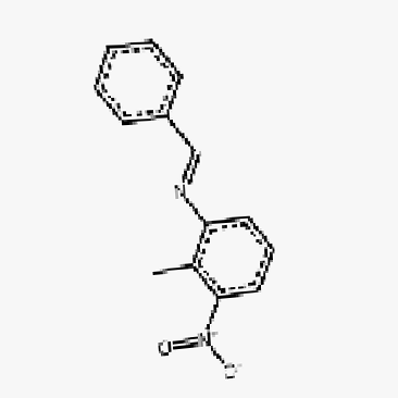 Cc1c(N=Cc2ccccc2)cccc1[N+](=O)[O-]